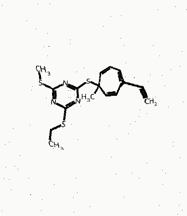 C=CC1=CC=CC(C)(Sc2nc(SC)nc(SCC)n2)C=C1